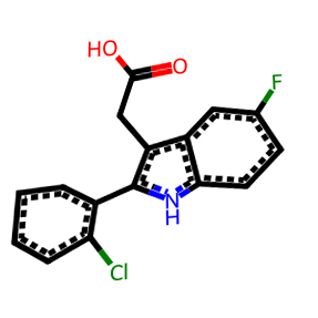 O=C(O)Cc1c(-c2ccccc2Cl)[nH]c2ccc(F)cc12